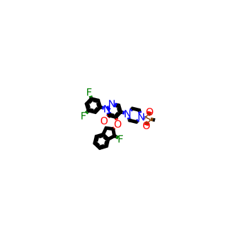 CS(=O)(=O)N1CCN(c2cnn(-c3cc(F)cc(F)c3)c(=O)c2OC2Cc3ccccc3C2F)CC1